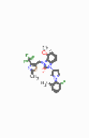 COc1cccc2c1n(Cc1sc(C)nc1C(F)(F)F)c(=O)n2[C@@H]1CCN(c2c(C)cccc2F)C1